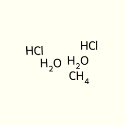 C.Cl.Cl.O.O